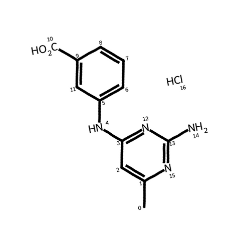 Cc1cc(Nc2cccc(C(=O)O)c2)nc(N)n1.Cl